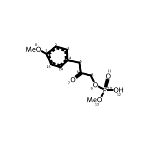 COc1ccc(CC(=O)COP(=O)(O)OC)cc1